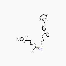 CC(/C=C\CCCC(=O)OCc1ccccc1)CCCC(C)(C)O